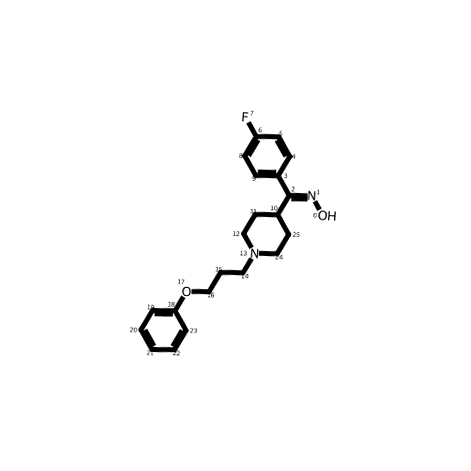 ON=C(c1ccc(F)cc1)C1CCN(CCCOc2ccccc2)CC1